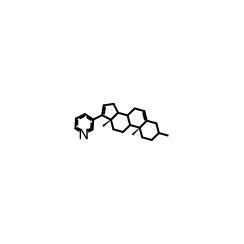 CC1CC[C@@]2(C)C(=CCC3C2CC[C@]2(C)C(c4cccnc4)=CCC32)C1